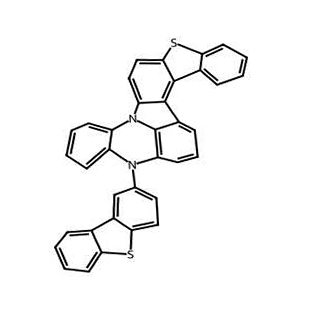 c1ccc2c(c1)N(c1ccc3sc4ccccc4c3c1)c1cccc3c4c5c(ccc4n-2c13)sc1ccccc15